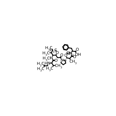 C=C(C)CNC(C(=O)N(C)C(C(C)CC)C(CC(=O)N1CCC[C@H]1C(OC)C(C)C(=O)NC(Cc1ccccc1)C(=O)O)OC)C(C)C